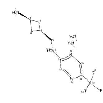 Cl.Cl.N[C@H]1C[C@@H](CNc2cnc(C(F)(F)F)cn2)C1